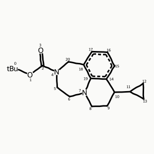 CC(C)(C)OC(=O)N1CCN2CCC(C3CC3)c3cccc(c32)C1